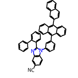 N#Cc1ccc2c(c1)nc(-c1ccccc1-c1ccccc1)n2-c1cccc(-c2c3ccccc3c(-c3ccc4ccccc4c3)c3ccccc23)c1